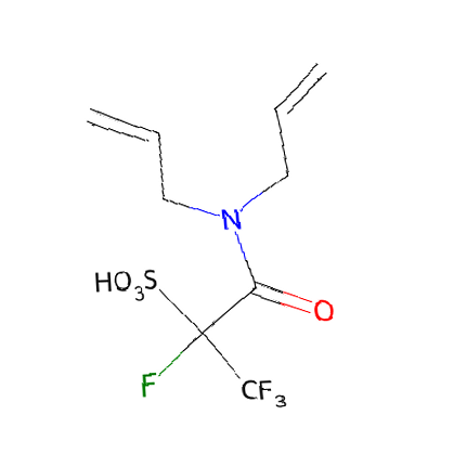 C=CCN(CC=C)C(=O)C(F)(C(F)(F)F)S(=O)(=O)O